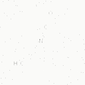 CCC1CCCC1N=C=O